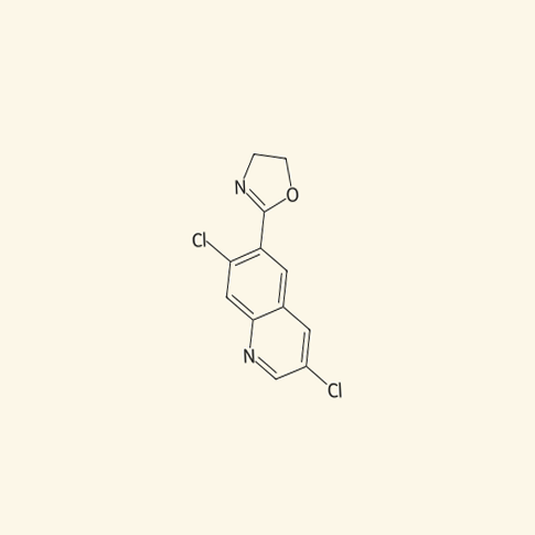 Clc1cnc2cc(Cl)c(C3=NCCO3)cc2c1